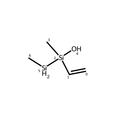 C=C[Si](C)(O)[SiH2]C